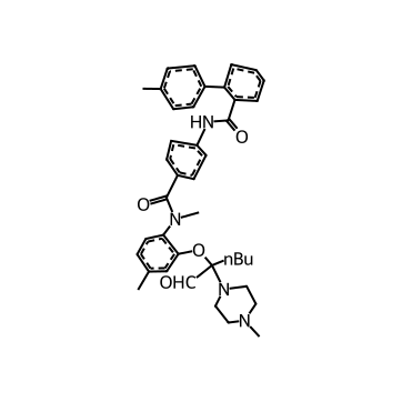 CCCCC(C=O)(Oc1cc(C)ccc1N(C)C(=O)c1ccc(NC(=O)c2ccccc2-c2ccc(C)cc2)cc1)N1CCN(C)CC1